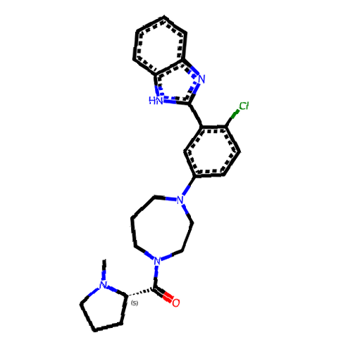 CN1CCC[C@H]1C(=O)N1CCCN(c2ccc(Cl)c(-c3nc4ccccc4[nH]3)c2)CC1